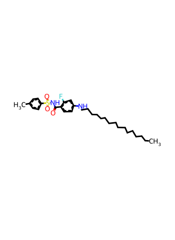 CCCCCCCCCCCCCCCCNc1ccc(C(=O)NS(=O)(=O)c2ccc(C)cc2)c(F)c1